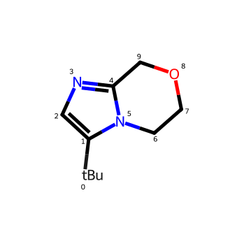 CC(C)(C)c1cnc2n1CCOC2